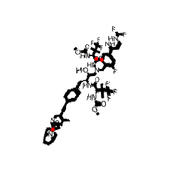 COC(=O)N[C@H](C(=O)N[C@@H](Cc1ccc(C#Cc2cnc(N3CC4CCC(C3)N4C3COC3)cc2C)cc1)[C@@H](O)CN(Cc1c(F)cc(C(=N)/C=C\NC(F)F)cc1F)NC(=O)[C@@H](NC(=O)OC)C(C)(C)C(F)(F)F)C(C)(C)C(F)(F)F